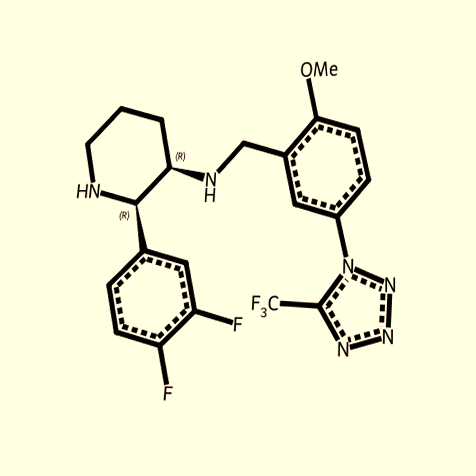 COc1ccc(-n2nnnc2C(F)(F)F)cc1CN[C@@H]1CCCN[C@@H]1c1ccc(F)c(F)c1